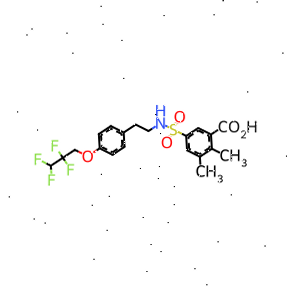 Cc1cc(S(=O)(=O)NCCc2ccc(OCC(F)(F)C(F)F)cc2)cc(C(=O)O)c1C